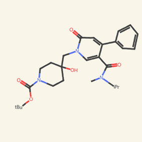 CC(C)N(C)C(=O)c1cn(CC2(O)CCN(C(=O)OC(C)(C)C)CC2)c(=O)cc1-c1ccccc1